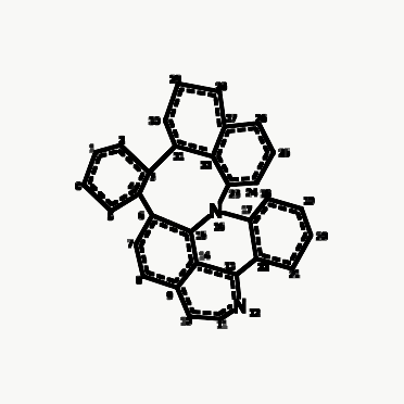 c1ccc2c(c1)-c1ccc3ccnc4c3c1N(c1ccccc1-4)c1cccc3cccc-2c13